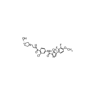 COc1ccc(-c2cnc(C(=O)Nc3ccc(C(=O)NCCN4CC[C@H](CO)C4)c(Cl)c3)n2C)c(F)c1F